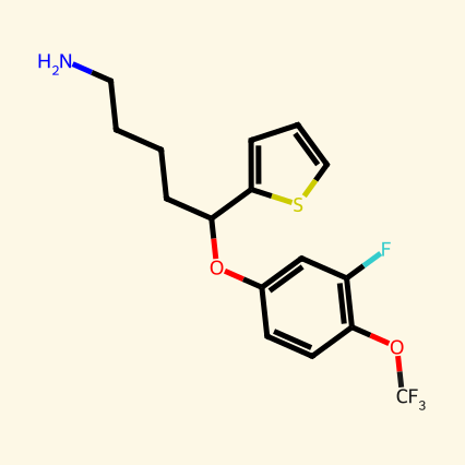 NCCCCC(Oc1ccc(OC(F)(F)F)c(F)c1)c1cccs1